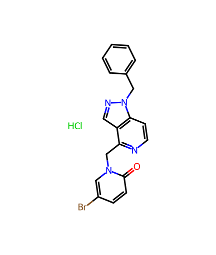 Cl.O=c1ccc(Br)cn1Cc1nccc2c1cnn2Cc1ccccc1